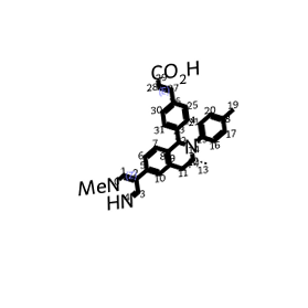 CN/C=C(\C=N)c1ccc2c(c1)C[C@@H](C)N(c1ccc(C)cc1)C2c1ccc(/C=C/C(=O)O)cc1